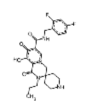 CCCN1C(=O)c2c(O)c(=O)c(C(=O)NCc3ccc(F)cc3F)cn2CC12CCNCC2